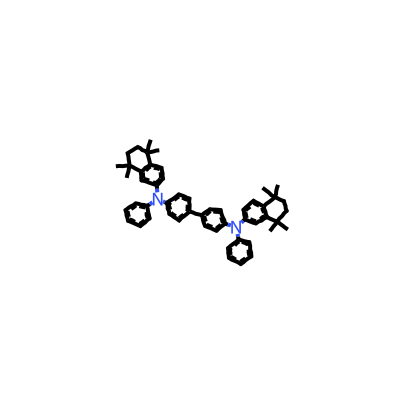 CC1(C)CCC(C)(C)c2cc(N(c3ccccc3)c3ccc(-c4ccc(N(c5ccccc5)c5ccc6c(c5)C(C)(C)CCC6(C)C)cc4)cc3)ccc21